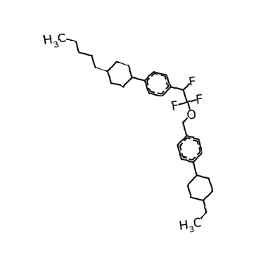 CCCCCC1CCC(c2ccc(C(F)C(F)(F)OCc3ccc(C4CCC(CC)CC4)cc3)cc2)CC1